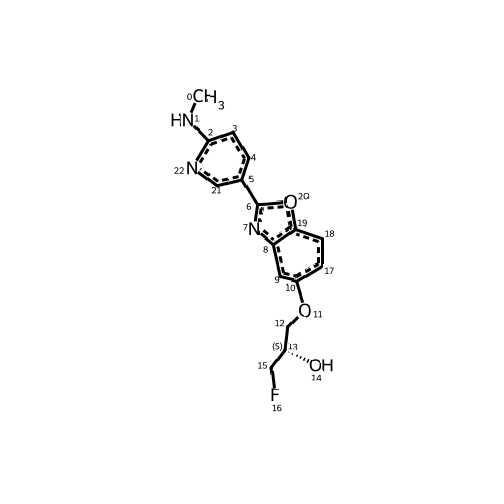 CNc1ccc(-c2nc3cc(OC[C@H](O)CF)ccc3o2)cn1